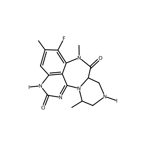 Cc1cc2c3c(nc(=O)n2I)N2C(C)CN(I)CC2C(=O)N(C)c3c1F